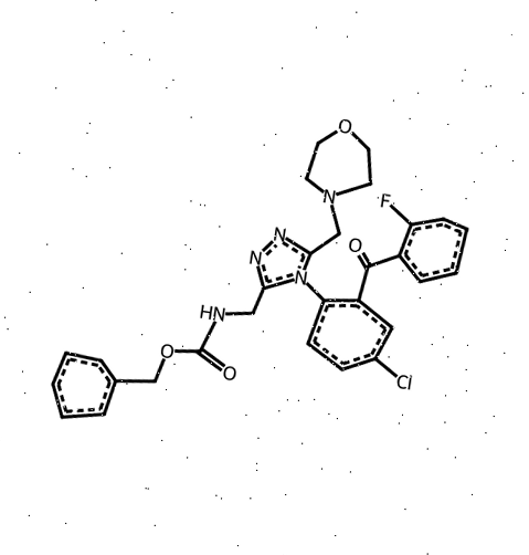 O=C(NCc1nnc(CN2CCOCC2)n1-c1ccc(Cl)cc1C(=O)c1ccccc1F)OCc1ccccc1